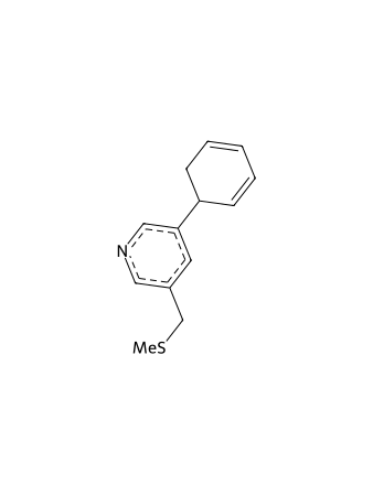 CSCc1cncc(C2C=CC=CC2)c1